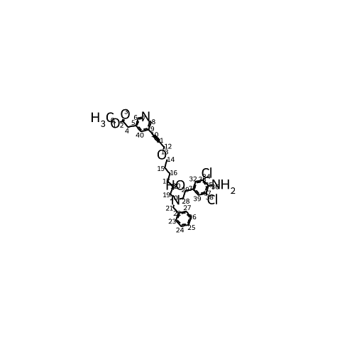 COC(=O)Cc1cncc(C#CCOCCCCCCN(Cc2ccccc2)CC(O)c2cc(Cl)c(N)c(Cl)c2)c1